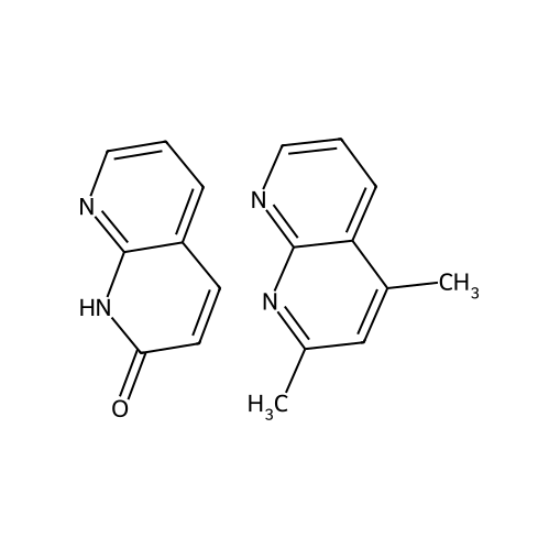 Cc1cc(C)c2cccnc2n1.O=c1ccc2cccnc2[nH]1